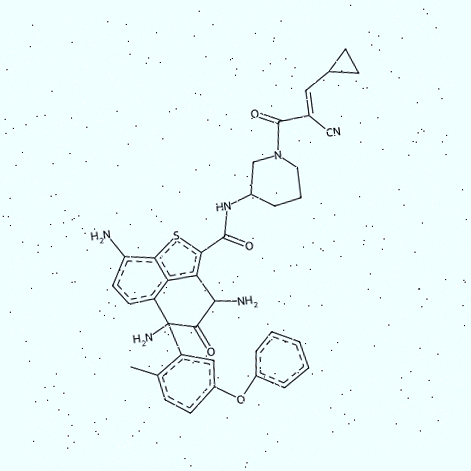 Cc1ccc(Oc2ccccc2)cc1C1(N)C(=O)C(N)c2c(C(=O)NC3CCCN(C(=O)/C(C#N)=C/C4CC4)C3)sc3c(N)ccc1c23